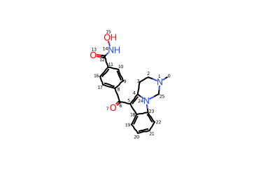 CN1CCc2c(C(=O)c3ccc(C(=O)NO)cc3)c3ccccc3n2C1